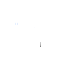 Cc1cc(=O)[nH]c2ccc([C@H](C)O)nc12